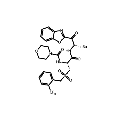 CCCC[C@H](NC(=O)[C@H](CS(=O)(=O)Cc1ccccc1C(F)(F)F)NC(=O)N1CCOCC1)C(=O)c1nc2ccccc2o1